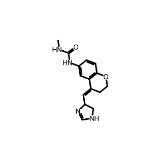 CNC(=O)Nc1ccc2c(c1)/C(=C/C1CNC=N1)CCO2